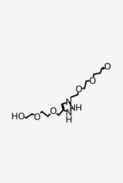 O=CCCOCCOCCN1C=C(COCCOCCO)NN1